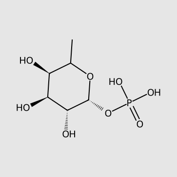 CC1O[C@H](OP(=O)(O)O)[C@H](O)[C@@H](O)[C@H]1O